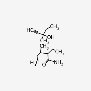 C#CC(C)(O)CC.CCC(C)C(CC)C(N)=O